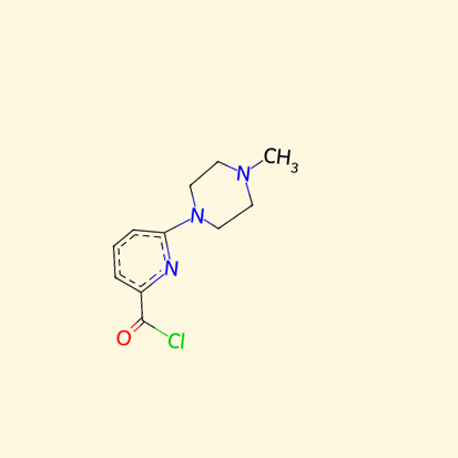 CN1CCN(c2cccc(C(=O)Cl)n2)CC1